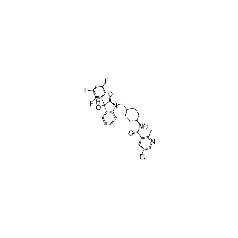 Cc1ncc(Cl)cc1C(=O)NC1CCC(CN2C(=O)C(O)(c3cc(F)cc(F)c3F)c3ccccc32)CC1